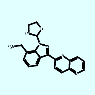 NCc1cccc2c(-c3ccc4ncccc4n3)nn(C3NCCO3)c12